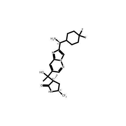 CC(O)(c1cnn2cc([C@@H](N)C3CCC(F)(F)CC3)nc2c1)[C@@]1(C)C[C@@H](C(F)(F)F)NC1=O